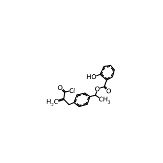 C=C(Cc1ccc(C(C)OC(=O)c2ccccc2O)cc1)C(=O)Cl